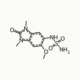 COc1cc2c(cc1NS(N)(=O)=O)n(C)c(=O)n2C